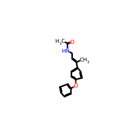 CC(=O)NCC=C(C)c1ccc(Oc2ccccc2)cc1